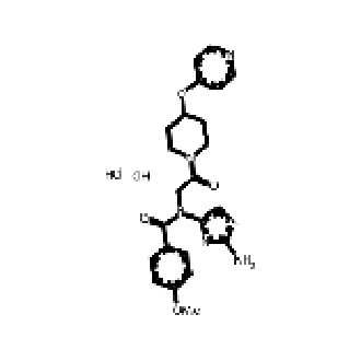 COc1ccc(C(=O)N(CC(=O)N2CCC(Oc3ccncc3)CC2)c2csc(N)n2)cc1.Cl.Cl